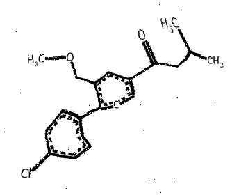 COCc1cc(C(=O)CC(C)C)ccc1-c1ccc(Cl)cc1